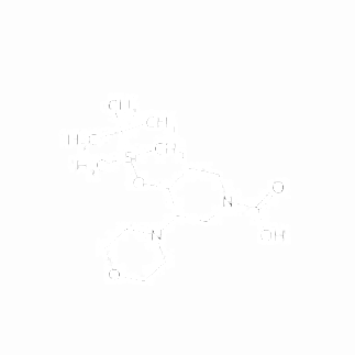 CC(C)(C)[Si](C)(C)OC1CCN(C(=O)O)CC1N1CCOCC1